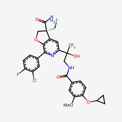 COc1cc(C(=O)NCC(O)(c2cc3c(c(-c4ccc(F)c(Cl)c4)n2)OC[C@@]3(CF)C(N)=O)C(F)(F)F)ccc1OC1CC1